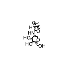 CS(=O)(=O)NC(=O)N[C@@H]1CO[C@H](CO)[C@H](O)[C@@H]1O